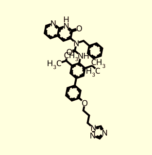 CC(C)c1cc(-c2cccc(OCCCn3cncn3)c2)cc(C(C)C)c1NC(=O)N(Cc1ccccc1)c1cc2cccnc2[nH]c1=O